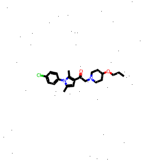 CCCOC1CCN(CC(=O)c2cc(C)n(-c3ccc(Cl)cc3)c2C)CC1